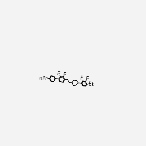 CCCc1ccc(-c2ccc(CCC3CCC(c4ccc(CC)c(F)c4F)CC3)c(F)c2F)cc1